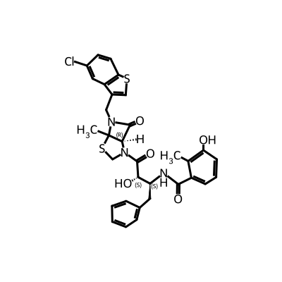 Cc1c(O)cccc1C(=O)N[C@@H](Cc1ccccc1)[C@H](O)C(=O)N1CSC2(C)[C@H]1C(=O)N2Cc1csc2ccc(Cl)cc12